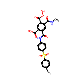 CNC(=O)c1cc(C(=O)Nc2ccc(S(=O)(=O)c3ccc(C)cc3)cc2)c(C(=O)O)cc1C(=O)OO